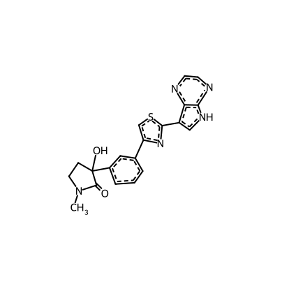 CN1CCC(O)(c2cccc(-c3csc(-c4c[nH]c5nccnc45)n3)c2)C1=O